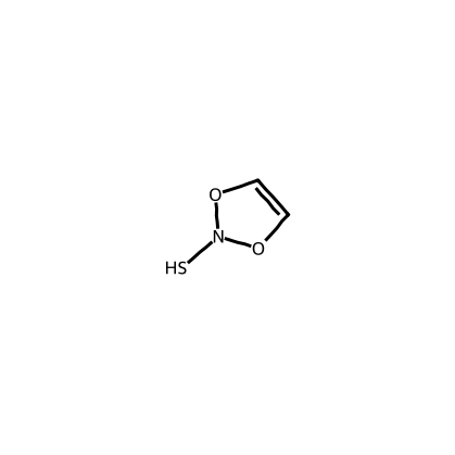 SN1OC=CO1